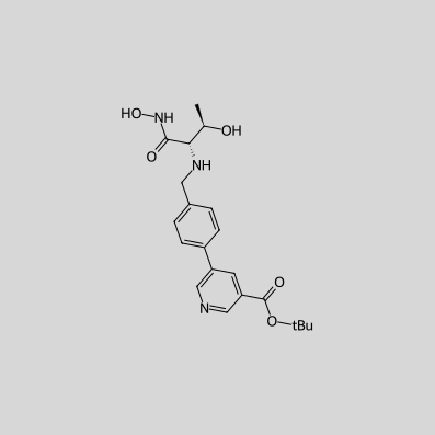 C[C@@H](O)[C@H](NCc1ccc(-c2cncc(C(=O)OC(C)(C)C)c2)cc1)C(=O)NO